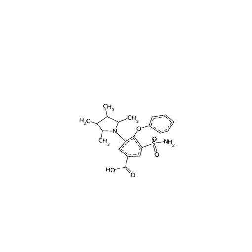 CC1C(C)C(C)N(c2cc(C(=O)O)cc(S(N)(=O)=O)c2Oc2ccccc2)C1C